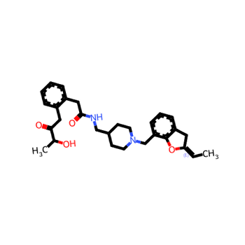 C/C=C1\Cc2cccc(CN3CCC(CNC(=O)Cc4ccccc4CC(=O)C(C)O)CC3)c2O1